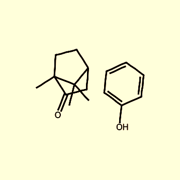 CC12CCC(CC1=O)C2(C)C.Oc1ccccc1